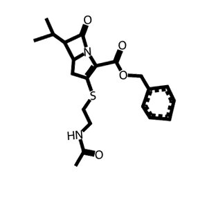 CC(=O)NCCSC1=C(C(=O)OCc2ccccc2)N2C(=O)C(C(C)C)C2C1